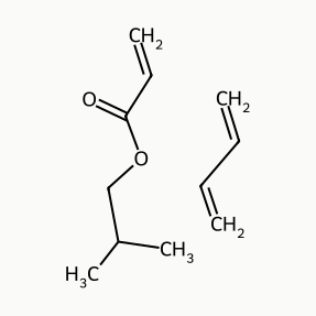 C=CC(=O)OCC(C)C.C=CC=C